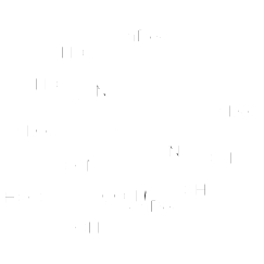 CCCCCCCCCCCC(C)N(Cc1ccccc1CN(C(C)CCCCCCCCCCC)C(C)CCCCCCCCCCC)C(C)CCCCCCCCCCC.O=C(O)C(O)C(O)C(=O)O